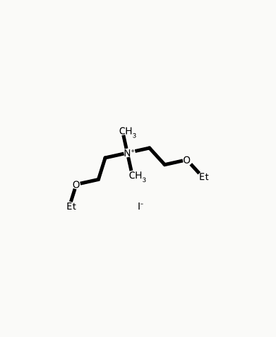 CCOCC[N+](C)(C)CCOCC.[I-]